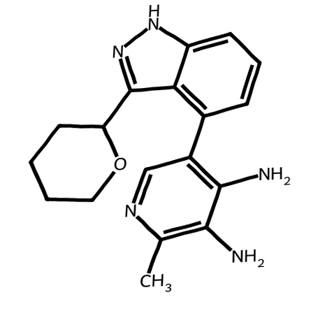 Cc1ncc(-c2cccc3[nH]nc(C4CCCCO4)c23)c(N)c1N